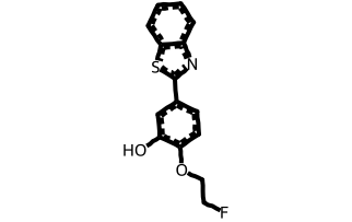 Oc1cc(-c2nc3ccccc3s2)ccc1OCCF